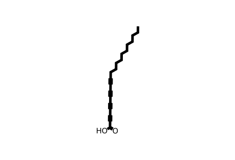 CCCCCCCCCCCC#CC#CC#CC#CC(=O)O